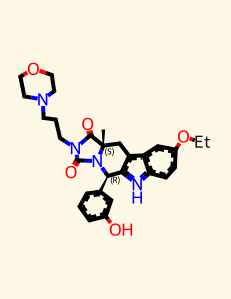 CCOc1ccc2[nH]c3c(c2c1)C[C@@]1(C)C(=O)N(CCCN2CCOCC2)C(=O)N1[C@@H]3c1cccc(O)c1